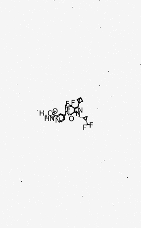 CS(=N)(=O)c1cc(NC(=O)c2c(C(F)(F)F)c(C34CC(C3)C4)nn2C[C@@H]2C[C@H]2C(F)F)ccn1